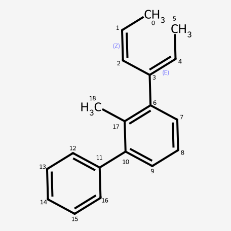 C/C=C\C(=C/C)c1cccc(-c2ccccc2)c1C